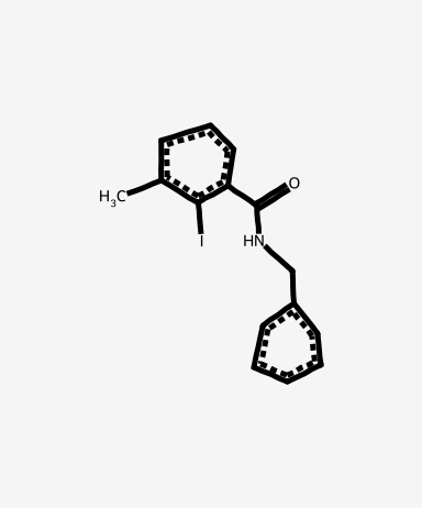 Cc1cccc(C(=O)NCc2ccccc2)c1I